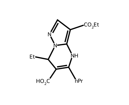 CCCC1=C(C(=O)O)C(CC)n2ncc(C(=O)OCC)c2N1